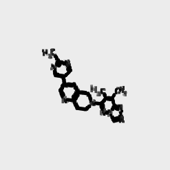 Cc1ncc(-c2cnc3c(c2)CN(c2nn4cnnc4c(C)c2C)CC3)cn1